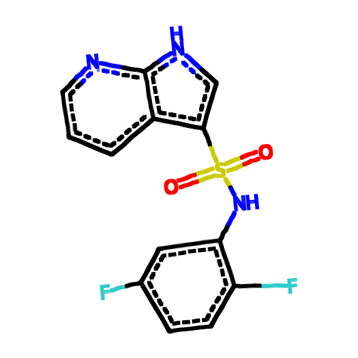 O=S(=O)(Nc1cc(F)ccc1F)c1c[nH]c2ncccc12